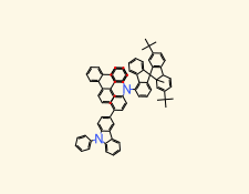 CC(C)(C)C1=CC2(C)C(C=C1)c1ccc(C(C)(C)C)cc1C21c2ccccc2-c2c(N(c3ccc(-c4ccc5c(c4)c4ccccc4n5-c4ccccc4)cc3)c3ccccc3-c3ccccc3-c3ccccc3-c3ccccc3)cccc21